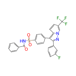 O=C(NS(=O)(=O)c1ccc(-c2c(-c3cccc(F)c3)nn3cc(C(F)(F)F)ccc23)cc1)c1ccccc1